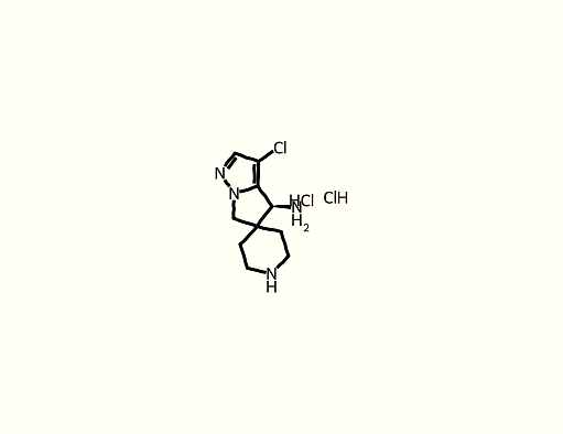 Cl.Cl.N[C@@H]1c2c(Cl)cnn2CC12CCNCC2